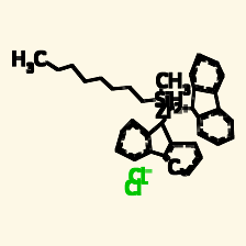 CCCCCCCC[SiH](C)[Zr+2]([CH]1c2ccccc2-c2ccccc21)[CH]1c2ccccc2-c2ccccc21.[Cl-].[Cl-]